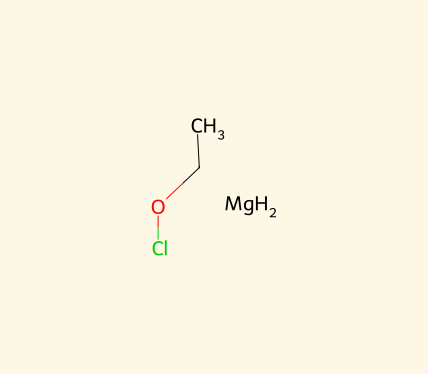 CCOCl.[MgH2]